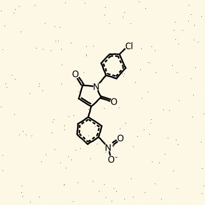 O=C1C=C(c2cccc([N+](=O)[O-])c2)C(=O)N1c1ccc(Cl)cc1